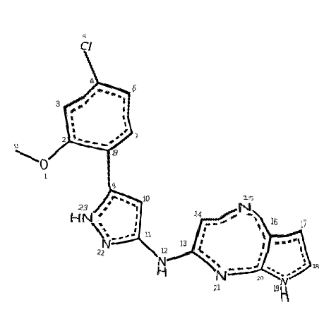 COc1cc(Cl)ccc1-c1cc(Nc2cnc3cc[nH]c3n2)n[nH]1